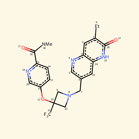 CCc1cc2ncc(CN3CC(Oc4ccc(C(=O)NC)nc4)(C(F)(F)F)C3)cc2[nH]c1=O